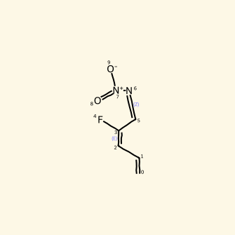 C=C/C=C(F)\C=N/[N+](=O)[O-]